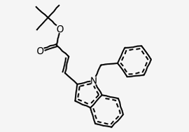 CC(C)(C)OC(=O)C=Cc1cc2ccccc2n1Cc1ccccc1